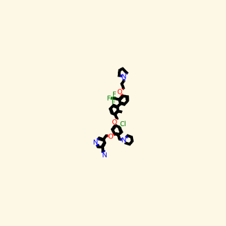 Cc1c(COc2cc(OCc3cncc(C#N)c3)c(CN3CCCCC3)cc2Cl)cccc1-c1cccc(OCCCN2CCCC2)c1C(F)(F)F